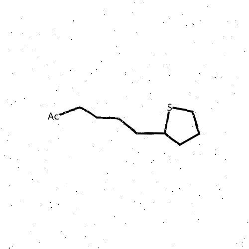 CC(=O)CCCCC1CCCS1